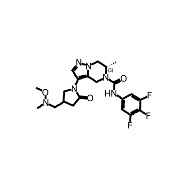 CON(C)CC1CC(=O)N(c2cnn3c2CN(C(=O)Nc2cc(F)c(F)c(F)c2)[C@@H](C)C3)C1